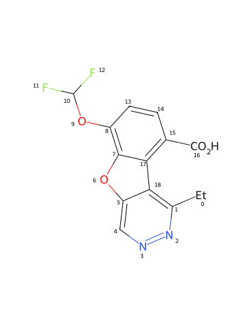 CCc1nncc2oc3c(OC(F)F)ccc(C(=O)O)c3c12